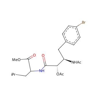 COC(=O)C(CC(C)C)NC(=O)[C@@H](OC(C)=O)[C@@H](Cc1ccc(Br)cc1)NC(C)=O